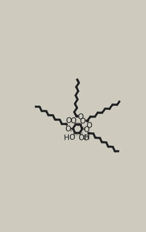 CCCCCCCCCC(=O)O[C@@H]1[C@@H](OC(=O)CCCCCCCCC)[C@H](OC(=O)CCCCCCCCC)[C@@H](O)[C@@H](O)[C@H]1OC(=O)CCCCCCCCC